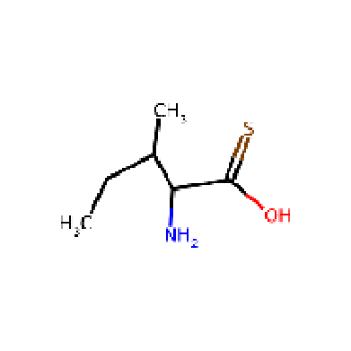 CCC(C)C(N)C(O)=S